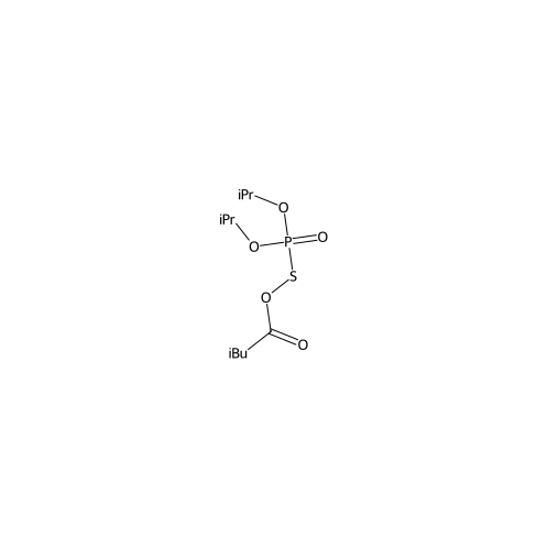 CCC(C)C(=O)OSP(=O)(OC(C)C)OC(C)C